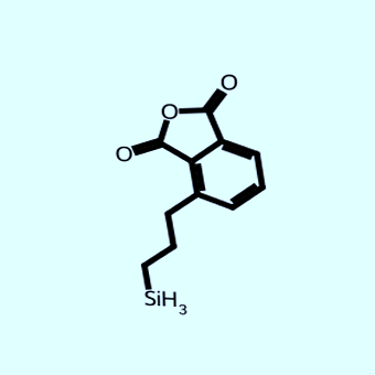 O=C1OC(=O)c2c(CCC[SiH3])cccc21